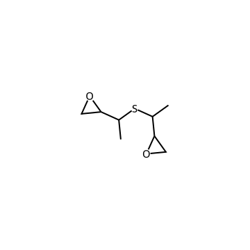 CC(SC(C)C1CO1)C1CO1